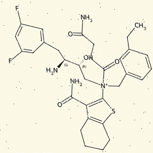 CCc1cccc(C[N+](C[C@@H](O)[C@@H](N)Cc2cc(F)cc(F)c2)(C(=O)CCC(N)=O)c2sc3c(c2C(N)=O)CCCC3)c1